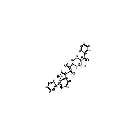 C[C@@H]1CN(C(=O)C(=O)c2c[nH]c3c(-c4cnccn4)nccc23)CCN1C(=O)c1cccnc1